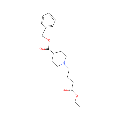 CCOC(=O)CCCN1CCC(C(=O)OCc2ccccc2)CC1